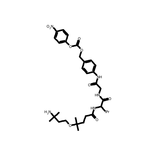 CC(C)C(NC(=O)CCC(C)(C)OCCC(C)(C)N)C(=O)NCC(=O)Nc1ccc(COC(=O)Oc2ccc([N+](=O)[O-])cc2)cc1